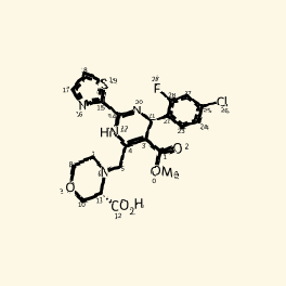 COC(=O)C1=C(CN2CCOC[C@H]2C(=O)O)NC(c2nccs2)=N[C@H]1c1ccc(Cl)cc1F